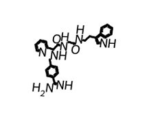 N=C(N)c1ccc(CNC(C(=O)NCC(=O)NCCc2c[nH]c3ccccc23)c2ccccn2)cc1